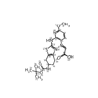 COc1ccc(N=CC(=O)O)c(Nc2nc3c(s2)CC(NC(=O)OC(C)(C)C)CC3)n1